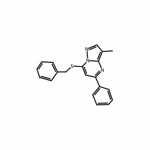 Cc1cnn2c(SCc3ccccc3)cc(-c3ccccc3)nc12